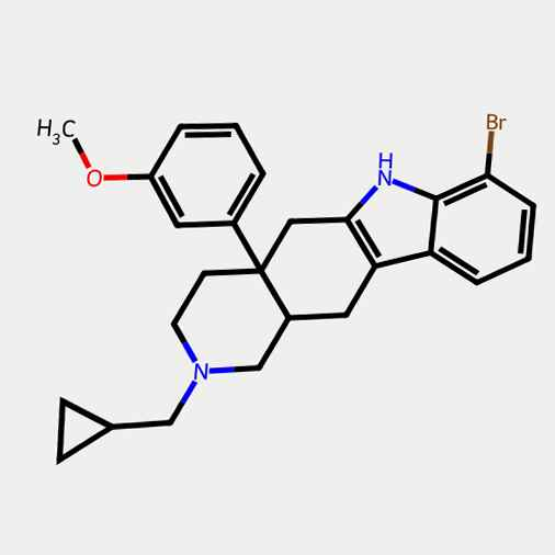 COc1cccc(C23CCN(CC4CC4)CC2Cc2c([nH]c4c(Br)cccc24)C3)c1